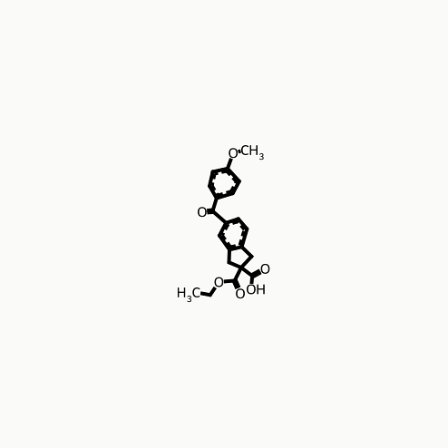 CCOC(=O)C1(C(=O)O)Cc2ccc(C(=O)c3ccc(OC)cc3)cc2C1